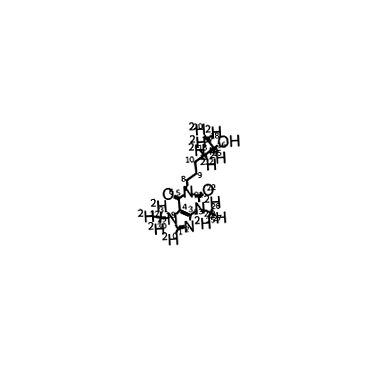 [2H]c1nc2c(c(=O)n(CCCC([2H])([2H])[C@@]([2H])(O)C([2H])([2H])[2H])c(=O)n2C([2H])([2H])[2H])n1C([2H])([2H])[2H]